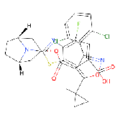 CC1(c2onc(-c3c(Cl)cccc3Cl)c2C(=O)O[C@H]2C[C@H]3CC[C@@H](C2)N3c2nc3c(F)cc(C(=O)O)cc3s2)CC1